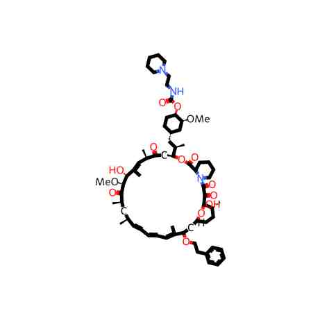 CO[C@@H]1C[C@H](C[C@@H](C)[C@@H]2CC(=O)[C@H](C)/C=C(\C)[C@@H](O)[C@@H](OC)C(=O)[C@H](C)C[C@H](C)/C=C/C=C/C=C(\C)C(OCCc3ccccc3)C[C@@H]3CC[C@@H](C)[C@@](O)(O3)C(=O)C(=O)N3CCCCC3C(=O)O2)CC[C@H]1OC(=O)NCCN1CCCCC1